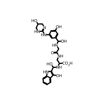 O=C(CNC(O)c1cc(O)cc(NC2=NCC(O)CN2)c1)NCC(NC(O)c1[nH]c2ccccc2c1O)C(=O)O